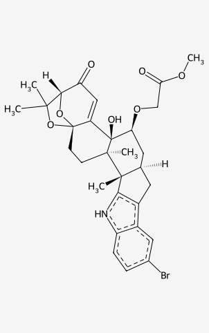 COC(=O)CO[C@H]1C[C@H]2Cc3c([nH]c4ccc(Br)cc34)[C@]2(C)[C@@]2(C)CC[C@@]34O[C@@H](C(=O)C=C3[C@]12O)C(C)(C)O4